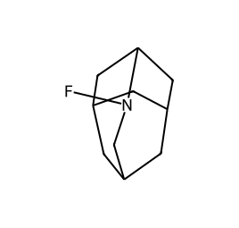 FN1CC2CC3CC(C2)CC1C3